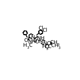 CCNC(=O)[C@]1(Cc2ccccc2)CCCN(C(=O)[C@@H](Cc2ccc(Cl)c(Cl)c2)NC(=O)N2CCN(C(=O)OC(C)(C)C)CC2)C1